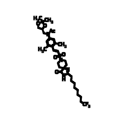 CC(=O)N(C[C@H]1COC(C)(C)O1)c1cc(C)c(/C=C/S(=O)(=O)N2CCC3(CC2)N=C(CCCCCCCCC(F)(F)F)NC3=O)c(C)c1